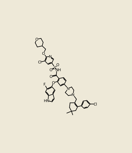 CC1(C)CCC(CN2CCN(c3ccc(C(=O)NS(=O)(=O)c4cnc(OCC5CCOCC5)c(Cl)c4)c(Oc4cc5cc[nH]c5cc4F)c3)CC2)=C(c2ccc(Cl)cc2)C1